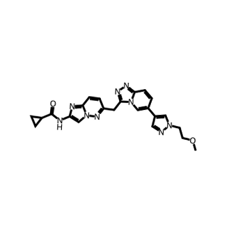 COCCn1cc(-c2ccc3nnc(Cc4ccc5nc(NC(=O)C6CC6)cn5n4)n3c2)cn1